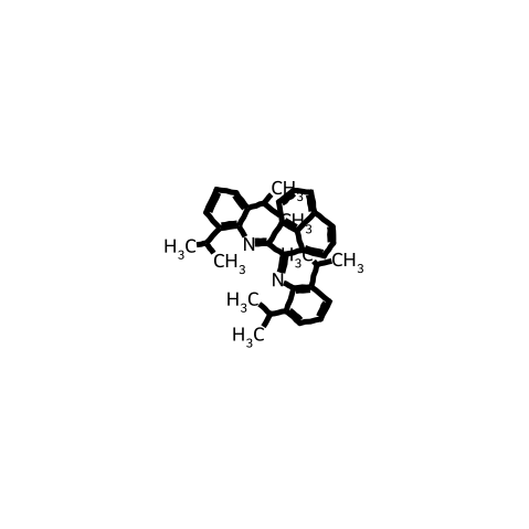 CC(C)c1cccc(C(C)C)c1N=C1C(=Nc2c(C(C)C)cccc2C(C)C)c2cccc3cccc1c23